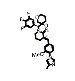 COc1cc(/C=C2\CCCN3C2=NOC2(CCCOC2)[C@@H]3c2cc(F)c(F)c(F)c2)ccc1-n1cnc(C)c1